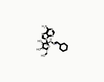 Nc1ncnc2c1ncn2[C@]1(N/N=C/C2CCCCC2)O[C@H](CO)[C@@H](O)[C@H]1O